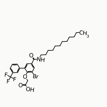 CCCCCCCCCCCCNC(=O)c1cc(Br)c(OCC(=O)O)c(-c2cccc(C(F)(F)F)c2)c1